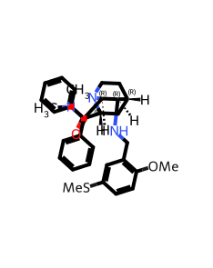 COc1ccc(SC)cc1CN[C@@H]1[C@@H]2CCN([C@@H](C(=O)N(C)C)C2)[C@@H]1C(c1ccccc1)c1ccccc1